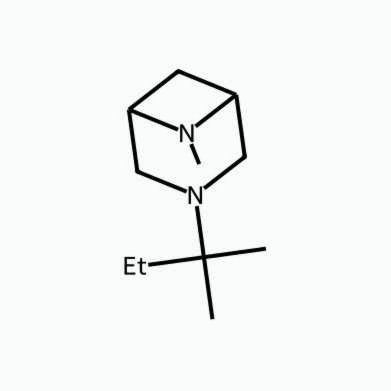 CCC(C)(C)N1CC2CC(C1)N2C